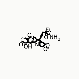 CCN(CC#Cc1c2c(nc3cc4c(cc13)OCO4)-c1cc3c(c(=O)n1C2)COC(=O)[C@H]3O)C(=O)CN